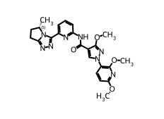 COc1ccc(-n2cc(C(=O)Nc3cccc(-c4nnc5n4[C@@H](C)CC5)n3)c(OC)n2)c(OC)n1